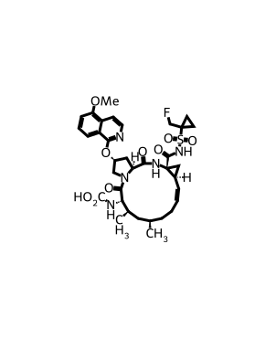 COc1cccc2c(O[C@@H]3C[C@H]4C(=O)N[C@]5(C(=O)NS(=O)(=O)C6(CF)CC6)C[C@H]5/C=C\CC[C@@H](C)C[C@@H](C)[C@H](NC(=O)O)C(=O)N4C3)nccc12